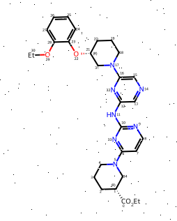 CCOC(=O)[C@@H]1CCCN(c2ccnc(Nc3cncc(N4CCC[C@@H](Oc5ccccc5OCC)C4)n3)n2)C1